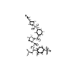 CC(C)C[C@@H](NC(=O)[C@H]1CCCN1C(=O)c1cccc(S(=O)(=O)N2CC(C#N)C2)c1)c1ccc(C(F)(F)F)cc1F